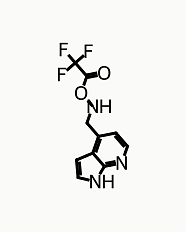 O=C(ONCc1ccnc2[nH]ccc12)C(F)(F)F